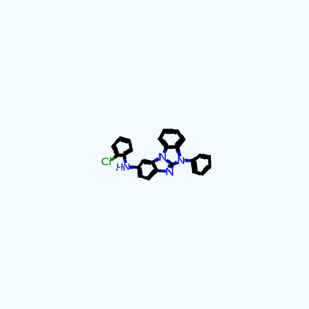 Clc1ccccc1Nc1ccc2nc3n(-c4ccccc4)c4ccccc4n3c2c1